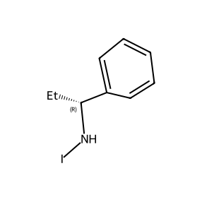 CC[C@@H](NI)c1ccccc1